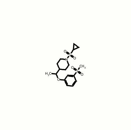 CC(Oc1cc[c]c(S(C)(=O)=O)c1)C1CCN(S(=O)(=O)C2CC2)CC1